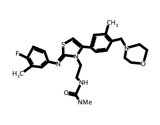 CNC(=O)NCCn1c(-c2ccc(CN3CCOCC3)c(C)c2)csc1=Nc1ccc(F)c(C)c1